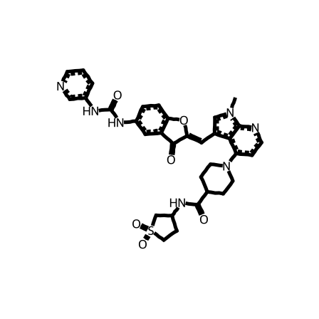 Cn1cc(C=C2Oc3ccc(NC(=O)Nc4cccnc4)cc3C2=O)c2c(N3CCC(C(=O)NC4CCS(=O)(=O)C4)CC3)ccnc21